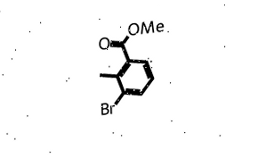 COC(=O)c1[c]ccc(Br)c1C